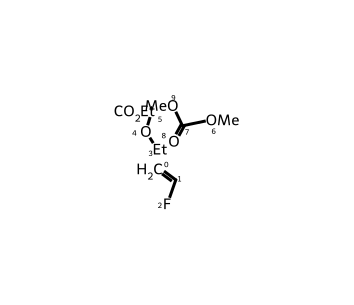 C=CF.CCOC(=O)OCC.COC(=O)OC